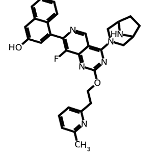 Cc1cccc(CCOc2nc(N3CC4CCC(C3)N4)c3cnc(-c4cc(O)cc5ccccc45)c(F)c3n2)n1